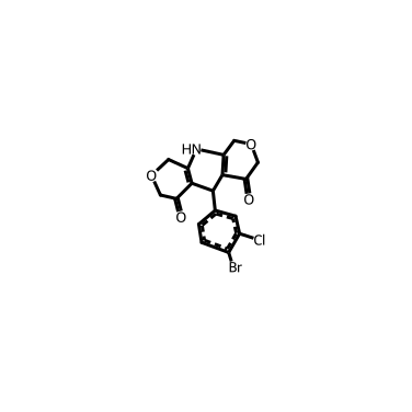 O=C1COCC2=C1C(c1ccc(Br)c(Cl)c1)C1=C(COCC1=O)N2